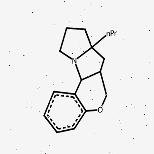 CCCC12CCCN1C1c3ccccc3OCC1C2